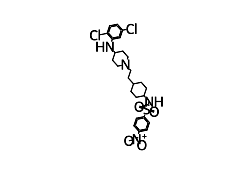 O=[N+]([O-])c1ccc(S(=O)(=O)NC2CCC(CCN3CCC(Nc4cc(Cl)ccc4Cl)CC3)CC2)cc1